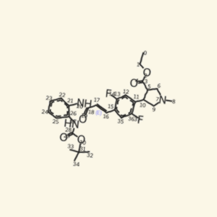 CCOC(=O)C1CN(C)CC1c1cc(F)c(/C=C/C(=O)Nc2ccccc2NC(=O)OC(C)(C)C)cc1F